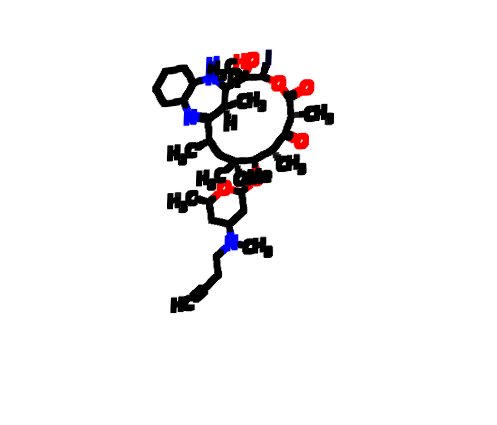 C#CCCN(C)[C@@H]1C[C@H](O[C@@H]2[C@@H](C)C(=O)[C@@H](C)C(=O)O[C@H](I)[C@@](C)(O)[C@@H]3NC4CCCCC4N=C([C@H](C)C[C@@]2(C)OC)[C@@H]3C)O[C@H](C)C1